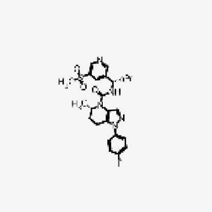 CCC[C@H](NC(=O)N1c2cnn(-c3ccc(F)cc3)c2CC[C@@H]1C)c1cncc(S(C)(=O)=O)c1